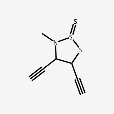 C#CC1SS(=S)N(C)C1C#C